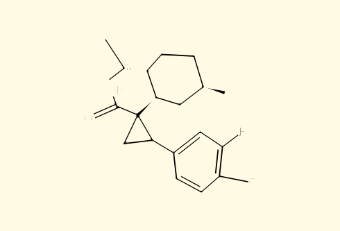 CC(C)[C@@H]1CC[C@@H](C)C[C@H]1C1(C(=O)O)CC1c1ccc(F)c(F)c1